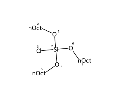 CCCCCCCCO[Si](Cl)(OCCCCCCCC)OCCCCCCCC